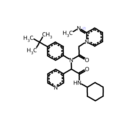 C/N=c1/ccccn1CC(=O)N(c1ccc(C(C)(C)C)cc1)C(C(=O)NC1CCCCC1)c1cccnc1